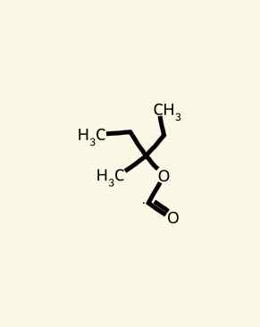 CCC(C)(CC)O[C]=O